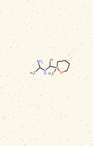 CC(N)NC(C(C)C)[Si]1(C)CCCCO1